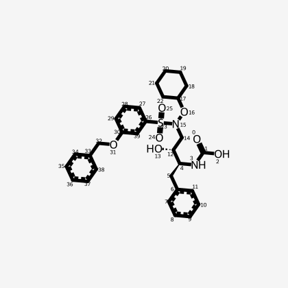 O=C(O)N[C@@H](Cc1ccccc1)[C@H](O)CN(OC1CCCCC1)S(=O)(=O)c1cccc(OCc2ccccc2)c1